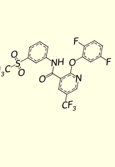 CS(=O)(=O)c1cccc(NC(=O)c2cc(C(F)(F)F)cnc2Oc2cc(F)ccc2F)c1